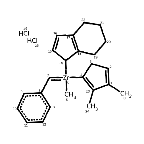 CC1=CC[C]([Zr]([CH3])(=[CH]c2ccccc2)[CH]2C=CC3=C2CCCC3)=C1C.Cl.Cl